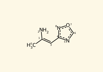 CC(N)=Cc1ncon1